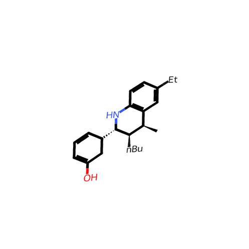 CCCC[C@@H]1[C@H](C)c2cc(CC)ccc2N[C@H]1C1C=CC=C(O)C1